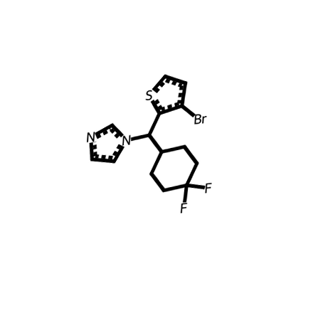 FC1(F)CCC(C(c2sccc2Br)n2ccnc2)CC1